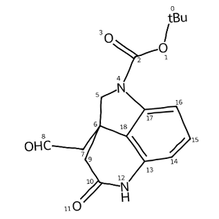 CC(C)(C)OC(=O)N1CC2(CC=O)CC(=O)Nc3cccc1c32